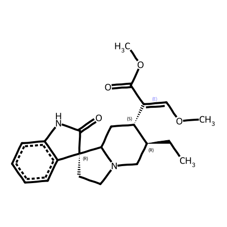 CC[C@H]1CN2CC[C@]3(C(=O)Nc4ccccc43)C2C[C@@H]1/C(=C\OC)C(=O)OC